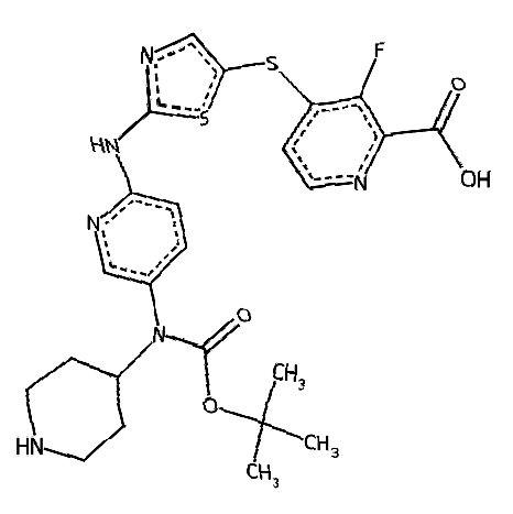 CC(C)(C)OC(=O)N(c1ccc(Nc2ncc(Sc3ccnc(C(=O)O)c3F)s2)nc1)C1CCNCC1